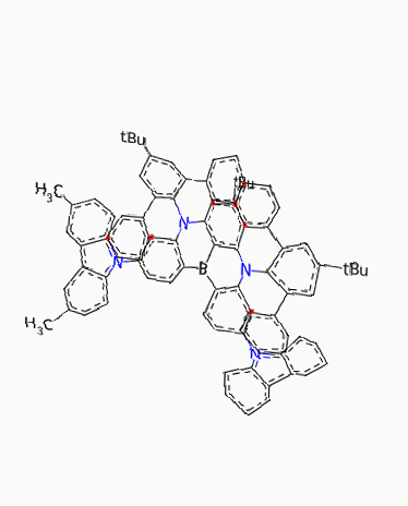 Cc1ccc2c(c1)c1cc(C)ccc1n2-c1ccc2c(c1)N(c1c(-c3ccccc3)cc(C(C)(C)C)cc1-c1ccccc1)c1cc(C(C)(C)C)cc3c1B2c1ccc(-n2c4ccccc4c4ccccc42)cc1N3c1c(-c2ccccc2)cc(C(C)(C)C)cc1-c1ccccc1